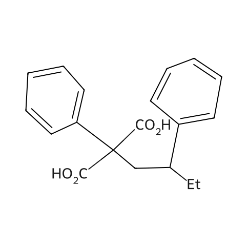 CCC(CC(C(=O)O)(C(=O)O)c1ccccc1)c1ccccc1